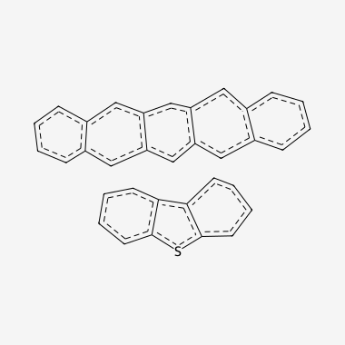 c1ccc2c(c1)sc1ccccc12.c1ccc2cc3cc4cc5ccccc5cc4cc3cc2c1